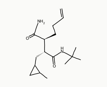 C=CCC[C@H](C(N)=O)[C@@H](CC1CC1C)C(=O)NC(C)(C)C